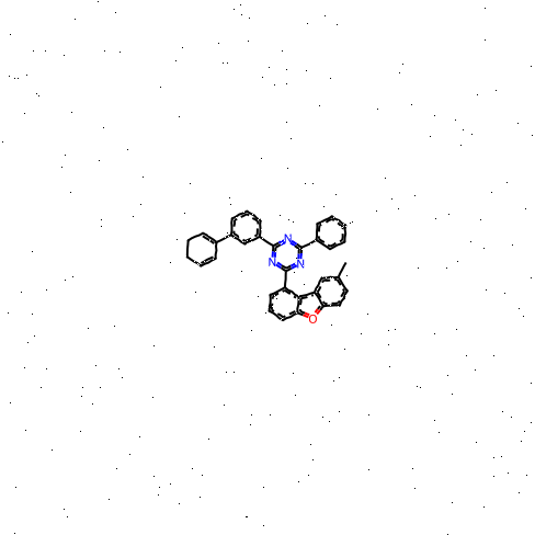 Cc1ccc2oc3cccc(-c4nc(-c5ccccc5)nc(-c5cccc(C6=CCCC=C6)c5)n4)c3c2c1